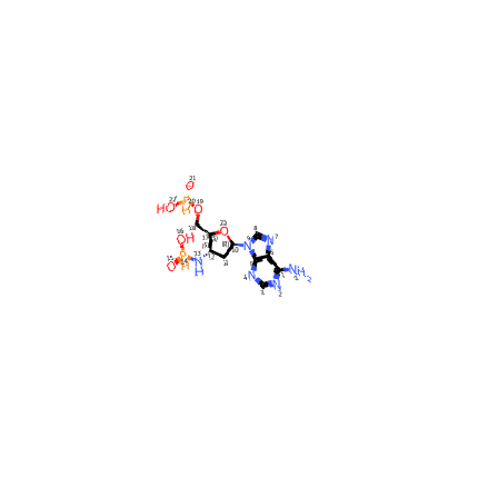 Nc1ncnc2c1ncn2[C@H]1C[C@H](N[PH](=O)O)[C@@H](CO[PH](=O)O)O1